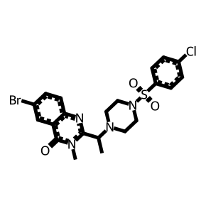 CC(c1nc2ccc(Br)cc2c(=O)n1C)N1CCN(S(=O)(=O)c2ccc(Cl)cc2)CC1